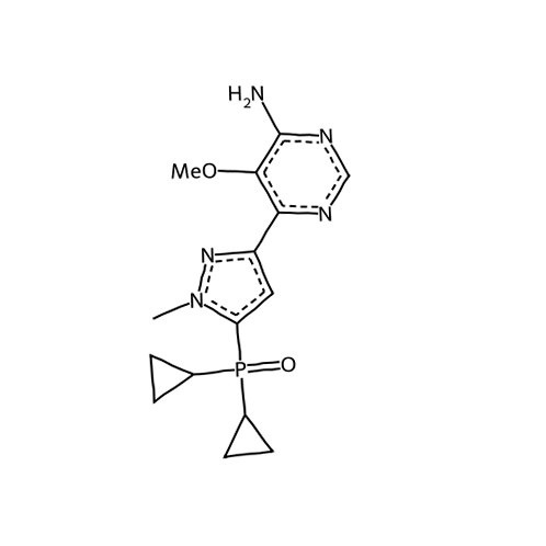 COc1c(N)ncnc1-c1cc(P(=O)(C2CC2)C2CC2)n(C)n1